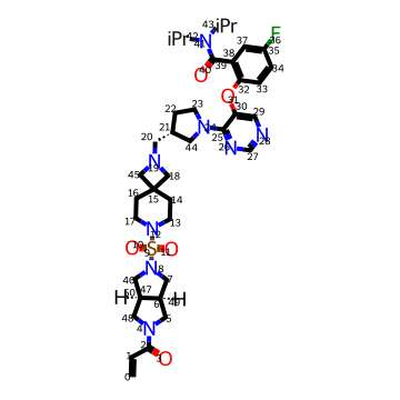 C=CC(=O)N1C[C@@H]2CN(S(=O)(=O)N3CCC4(CC3)CN(C[C@@H]3CCN(c5ncncc5Oc5ccc(F)cc5C(=O)N(C(C)C)C(C)C)C3)C4)C[C@@H]2C1